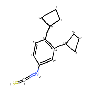 S=C=Nc1ccc(C2CCC2)c(C2CCC2)c1